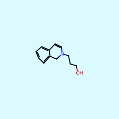 OCCCN1C=Cc2ccccc2C1